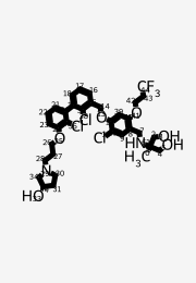 CC(CO)(CO)NCc1cc(Cl)c(OCc2cccc(-c3cccc(OCCCN4CC[C@@H](O)C4)c3Cl)c2Cl)cc1OCCC(F)(F)F